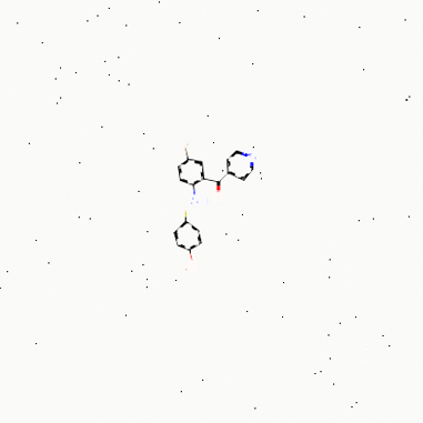 O=C(c1ccncc1)c1cc(Br)ccc1NSc1ccc(OC(F)(F)F)cc1